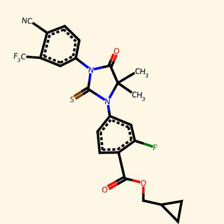 CC1(C)C(=O)N(c2ccc(C#N)c(C(F)(F)F)c2)C(=S)N1c1ccc(C(=O)OCC2CC2)c(F)c1